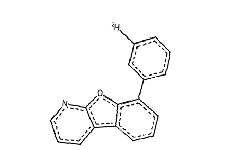 [2H]c1cccc(-c2cccc3c2oc2ncccc23)c1